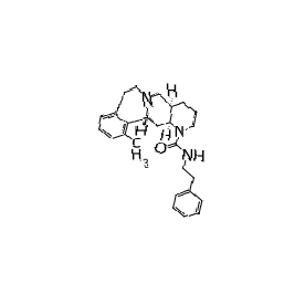 Cc1cccc2c1[C@H]1C[C@H]3[C@H](CCCN3C(=O)NCCc3ccccc3)CN1CC2